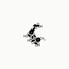 Cc1ccc(N(CC(=O)O)CC(=O)O)c(OCCOc2c(N(CC(=O)O)CC(=O)O)ccc3oc(-c4ncc(C(=O)O)o4)cc23)c1